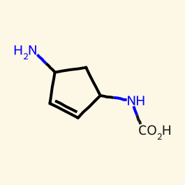 NC1C=CC(NC(=O)O)C1